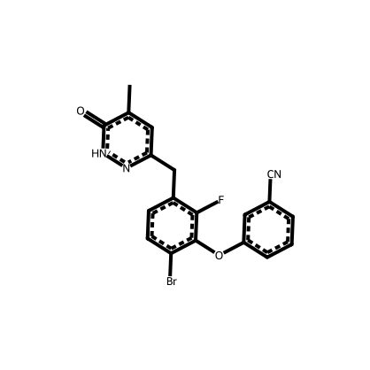 Cc1cc(Cc2ccc(Br)c(Oc3cccc(C#N)c3)c2F)n[nH]c1=O